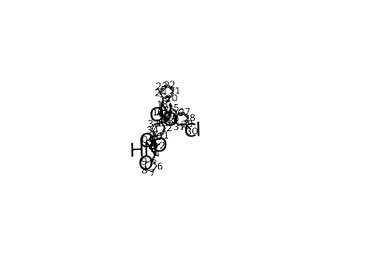 O=S(=O)(NCC1CCCO1)c1ccc(S(=O)(=O)N(Cc2ccccc2)Cc2ccc(Cl)cc2)cc1